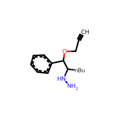 C#CCOC(c1ccccc1)C(CCCC)NN